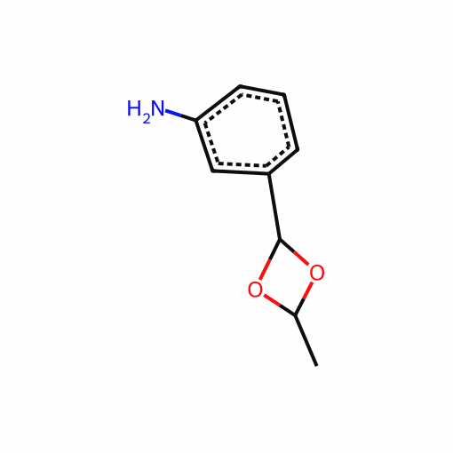 CC1OC(c2cccc(N)c2)O1